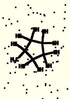 CC1(S)C(S)(S)C(S)(S)C(S)(S)C1(S)S